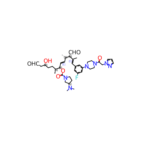 C/C(=C\c1cc(F)cc(N2CCN(C(=O)Cn3cccn3)CC2)c1)[C@@H](C=O)[C@@H](C)/C=C/[C@H](OC(=O)N1CC[C@H](N(C)C)C1)[C@@H](C)CC[C@@H](O)CC=O